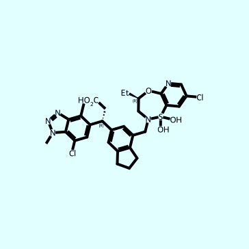 CC[C@@H]1CN(Cc2cc([C@@H](CC(=O)O)c3cc(Cl)c4c(nnn4C)c3C)cc3c2CCC3)S(O)(O)c2cc(Cl)cnc2O1